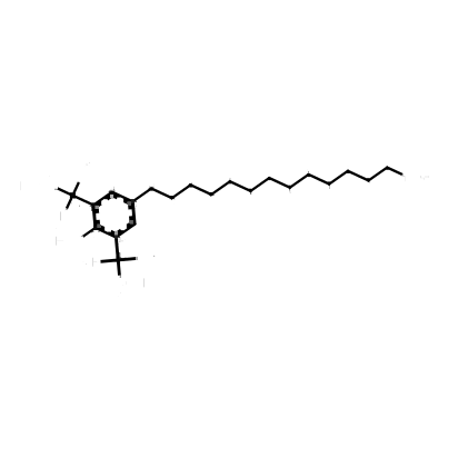 CCCCCCCCCCCCCCCCCCCCCCCc1cc(C(F)(F)S(=O)(=O)O)c(C)c(C(F)(F)S(=O)(=O)O)c1